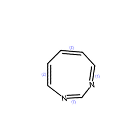 C1=C\C=N/C=N\C=C/1